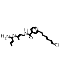 C/C=C/C(N)=N\C(C)=C\CNC(=O)c1ccnc(CC/C=C/C=C/Cl)c1